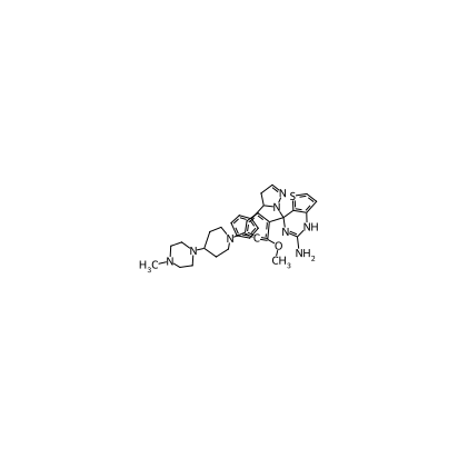 COc1cc(N2CCC(N3CCN(C)CC3)CC2)ccc1C1(N2N=CCC2c2ccccc2)N=C(N)Nc2ccsc21